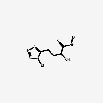 CCNC(=S)C(C)CCc1nnnn1CC